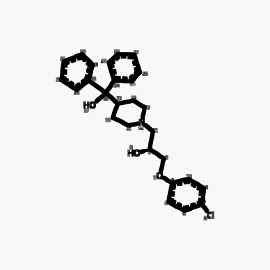 O[C@H](COc1ccc(Cl)cc1)CN1CCC(C(O)(c2ccccc2)c2ccccc2)CC1